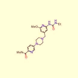 CCNC(=O)Nc1cc(CN2CCN(c3ccc(C(=O)NC)nc3)CC2)cc(OC)n1